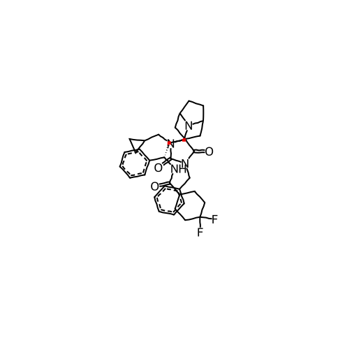 O=C(N[C@@H](CCN1C2CCC1CC1(C2)C(=O)N(Cc2ccccc2)C(=O)N1CC1CC1)c1ccccc1)C1CCC(F)(F)CC1